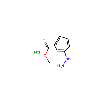 COC=O.Cl.NNc1ccccc1